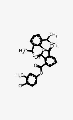 Cc1cc(OC(=O)c2cccc3c2C(=O)N(c2c(C(C)C)cccc2C(C)C)C3=O)ccc1Cl